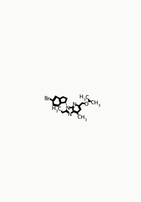 CCc1nc2c(C)cc(COC(C)C)nc2n1[C@H]1CCc2cc(Br)ccc21